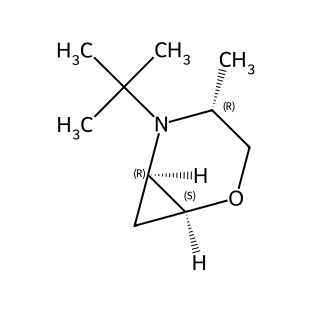 C[C@@H]1CO[C@H]2C[C@H]2N1C(C)(C)C